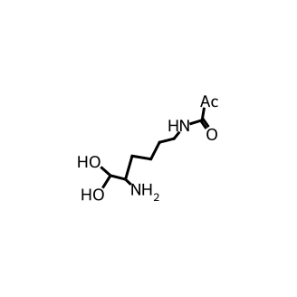 CC(=O)C(=O)NCCCCC(N)C(O)O